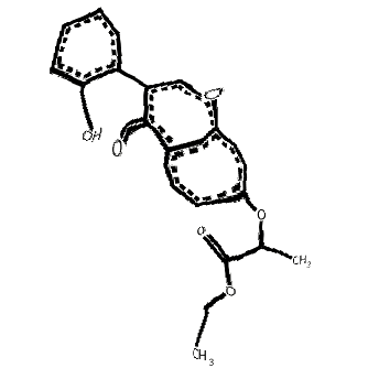 CCOC(=O)C(C)Oc1ccc2c(=O)c(-c3ccccc3O)coc2c1